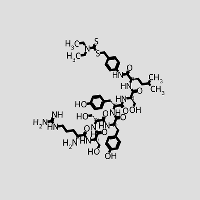 CCN(CC)C(=S)SCc1ccc(NC(=O)[C@@H](CCC(C)C)NC(=O)[C@@H](CO)NC(=O)[C@@H](Cc2ccc(O)cc2)NC(=O)[C@@H](Cc2ccc(O)cc2)NC(=O)[C@@H](CO)NC(=O)[C@@H](CO)NC(=O)[C@H](N)CCCNC(=N)N)cc1